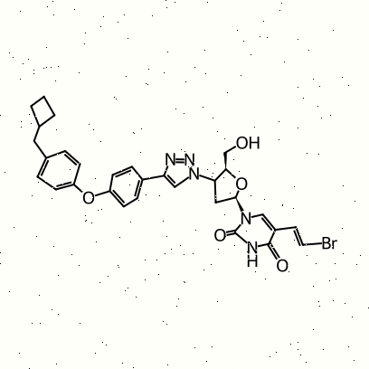 O=c1[nH]c(=O)n([C@H]2CC(n3cc(-c4ccc(Oc5ccc(CC6CCC6)cc5)cc4)nn3)[C@@H](CO)O2)cc1/C=C/Br